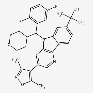 Cc1noc(C)c1-c1cnc2c3ccc(C(C)(C)O)cc3n(C(c3cc(F)ccc3F)C3CCOCC3)c2c1